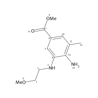 COCCNc1cc(C(=O)OC)cc(C)c1N